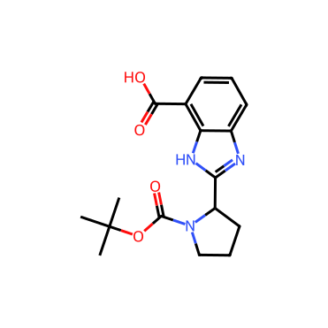 CC(C)(C)OC(=O)N1CCCC1c1nc2cccc(C(=O)O)c2[nH]1